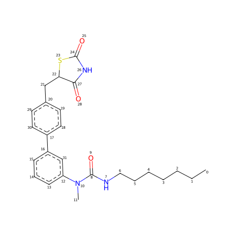 CCCCCCCNC(=O)N(C)c1cccc(-c2ccc(CC3SC(=O)NC3=O)cc2)c1